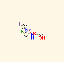 Cc1cc(I)ccc1Nc1c(F)cccc1C(=O)NOCCC(C)O